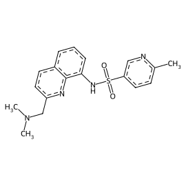 Cc1ccc(S(=O)(=O)Nc2cccc3ccc(CN(C)C)nc23)cn1